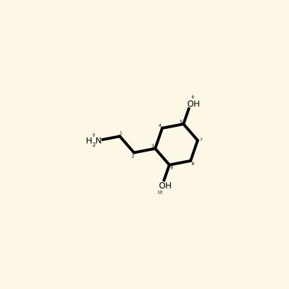 NCCC1CC(O)CCC1O